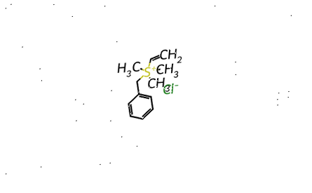 C=C[S+](C)(C)(C)Cc1ccccc1.[Cl-]